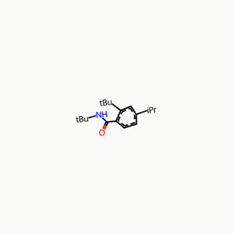 CC(C)c1ccc(C(=O)NC(C)(C)C)c(C(C)(C)C)c1